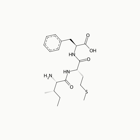 CC[C@H](C)[C@H](N)C(=O)N[C@@H](CCSC)C(=O)N[C@@H](Cc1ccccc1)C(=O)O